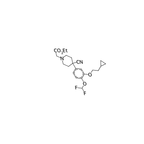 CCOC(=O)CN1CCC(C#N)(c2ccc(OC(F)F)c(OCCC3CC3)c2)CC1